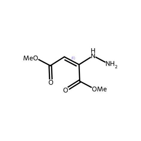 COC(=O)/C=C(/NN)C(=O)OC